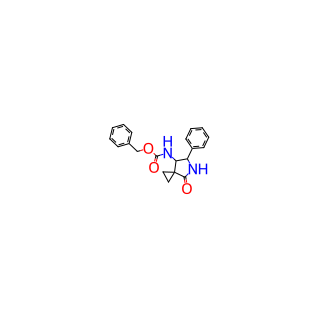 O=C(NC1C(c2ccccc2)NC(=O)C12CC2)OCc1ccccc1